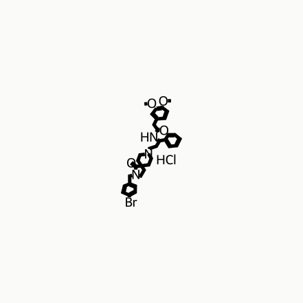 COc1ccc(CC(=O)NC(CCN2CCC3(CC2)CCN(Cc2ccc(Br)cc2)C3=O)c2ccccc2)cc1OC.Cl